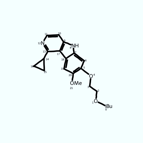 C[CH]C(C)OCCOc1cc2[nH]c3ccnc(C4CC4)c3c2cc1OC